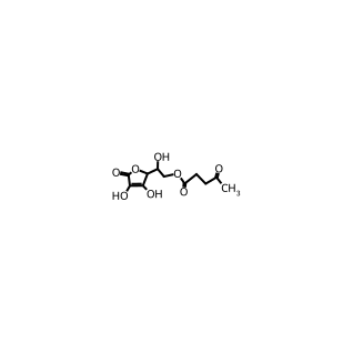 CC(=O)CCC(=O)OCC(O)C1OC(=O)C(O)=C1O